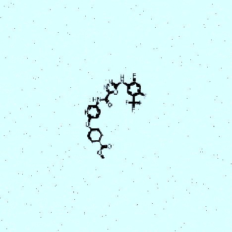 COC(=O)[C@H]1CC[C@@H](Oc2ccc(NC(=O)c3nnc(Nc4cc(C(F)(F)F)c(F)cc4F)o3)cn2)CC1